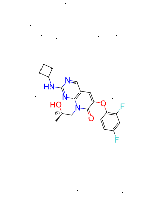 C[C@@H](O)Cn1c(=O)c(Oc2ccc(F)cc2F)cc2cnc(NC3CCC3)nc21